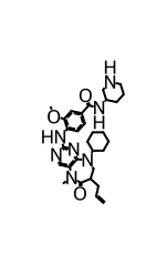 C=CCC1CN(C2CCCCC2)c2nc(Nc3ccc(C(=O)N[C@@H]4CCCNC4)cc3OC)ncc2N(C)C1=O